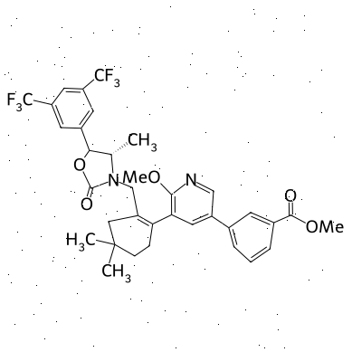 COC(=O)c1cccc(-c2cnc(OC)c(C3=C(CN4C(=O)OC(c5cc(C(F)(F)F)cc(C(F)(F)F)c5)[C@@H]4C)CC(C)(C)CC3)c2)c1